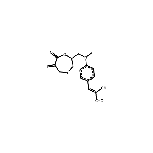 C=C1CSCC(CN(C)c2ccc(/C=C(\C#N)C=O)cc2)OC1=O